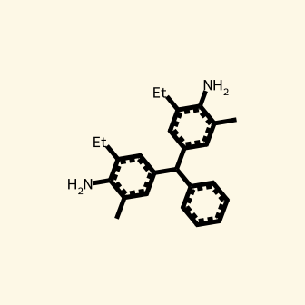 CCc1cc(C(c2ccccc2)c2cc(C)c(N)c(CC)c2)cc(C)c1N